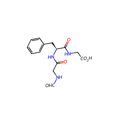 O=CNCC(=O)N[C@@H](Cc1ccccc1)C(=O)NCC(=O)O